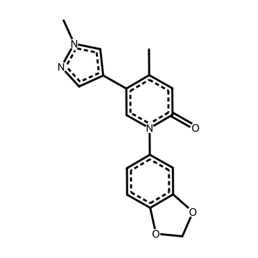 Cc1cc(=O)n(-c2ccc3c(c2)OCO3)cc1-c1cnn(C)c1